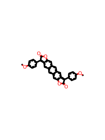 COc1ccc(C2=c3cc4cc5cc6c(cc5cc4cc3OC2=O)=C(c2ccc(OC)cc2)C(=O)O6)cc1